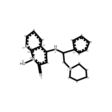 O=c1cc(NC(CN2CCCCC2)c2ccccc2)c2cccnc2n1O